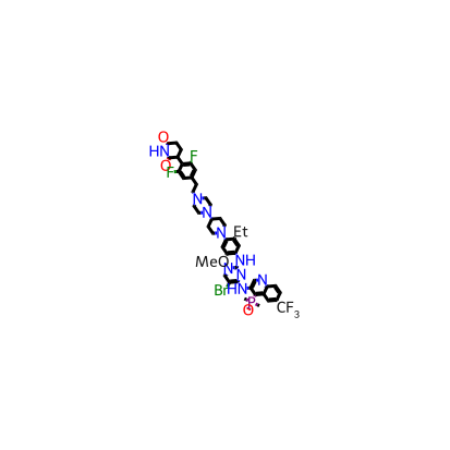 CCc1cc(Nc2ncc(Br)c(Nc3cnc4ccc(C(F)(F)F)cc4c3P(C)(C)=O)n2)c(OC)cc1N1CCC(N2CCN(CCc3cc(F)c(C4CCC(=O)NC4=O)c(F)c3)CC2)CC1